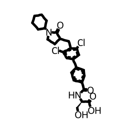 O=C(N[C@H](CO)C(=O)O)c1ccc(-c2cc(Cl)c(CC3CCN(C4CCCCC4)C3=O)c(Cl)c2)cc1